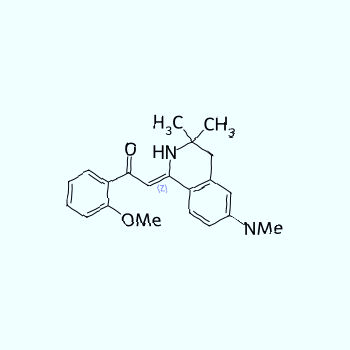 CNc1ccc2c(c1)CC(C)(C)N/C2=C\C(=O)c1ccccc1OC